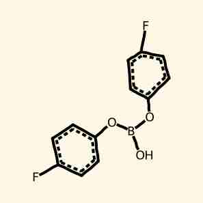 OB(Oc1ccc(F)cc1)Oc1ccc(F)cc1